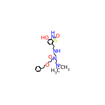 CCN(CC)CCN(CCNCCc1ccc(O)c2[nH]c(=O)sc12)C(=O)CCOCCc1ccccc1